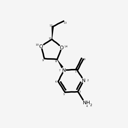 C=C1N=C(N)C=CN1[C@H]1CO[C@@H](CC)O1